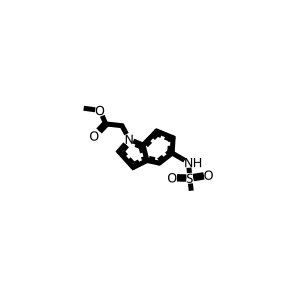 COC(=O)Cn1ccc2cc(NS(C)(=O)=O)ccc21